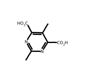 Cc1nc(C(=O)O)c(C)c(C(=O)O)n1